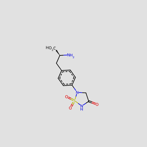 N[C@@H](Cc1ccc(N2CC(=O)NS2(=O)=O)cc1)C(=O)O